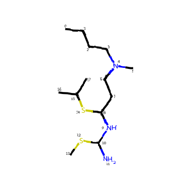 CCCCN(C)CCC(NC(N)SC)SC(C)C